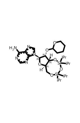 CC(C)[Si]1(C(C)C)OC[C@H]2O[C@@H](n3cnc4c(N)ncnc43)[C@H](OC3CCCCO3)[C@@H]2O[Si](C(C)C)(C(C)C)O1